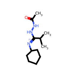 CC(=O)NN/C(=N/C1CCCCC1)C(C)C